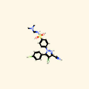 CN(C)/C=N/S(=O)(=O)c1ccc(-n2nc(C#N)c(Cl)c2-c2ccc(F)cc2)cc1